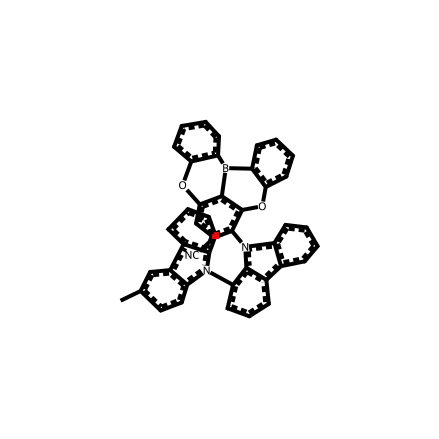 Cc1ccc2c(c1)c1ccccc1n2-c1cccc2c3ccccc3n(-c3c(C#N)cc4c5c3Oc3ccccc3B5c3ccccc3O4)c12